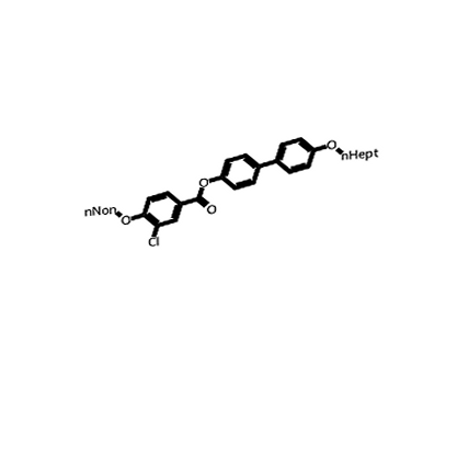 CCCCCCCCCOc1ccc(C(=O)Oc2ccc(-c3ccc(OCCCCCCC)cc3)cc2)cc1Cl